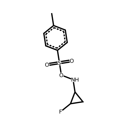 Cc1ccc(S(=O)(=O)ONC2CC2F)cc1